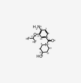 Nc1ccc(C(=O)N2CCC(O)CC2)cc1OC(F)F